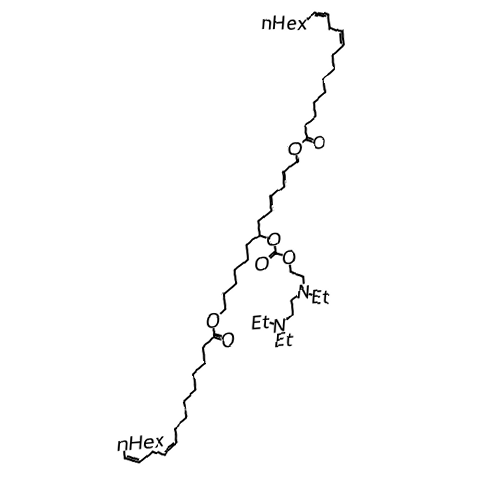 CCCCCC/C=C\C/C=C\CCCCCCCC(=O)OCCCCCCC(CCCCCCOC(=O)CCCCCCC/C=C\C/C=C\CCCCCC)OC(=O)OCCN(CC)CCN(CC)CC